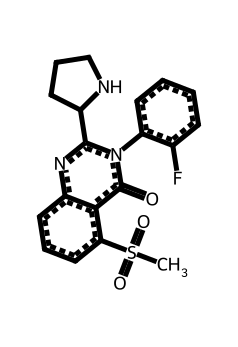 CS(=O)(=O)c1cccc2nc(C3CCCN3)n(-c3ccccc3F)c(=O)c12